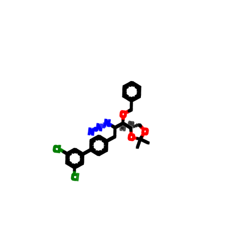 CC1(C)OC[C@@H]([C@H](OCc2ccccc2)C(Cc2ccc(-c3cc(Cl)cc(Cl)c3)cc2)N=[N+]=[N-])O1